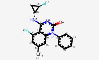 O=c1nc(N[C@@H]2C[C@H]2F)c2c(F)cc(C(F)(F)F)cc2n1-c1ccccc1